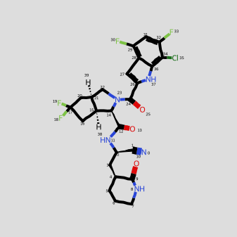 N#C[C@@H](C[C@@H]1CCCNC1=O)NC(=O)[C@H]1[C@H]2CC(F)(F)C[C@H]2CN1C(=O)c1cc2c(F)cc(F)c(Cl)c2[nH]1